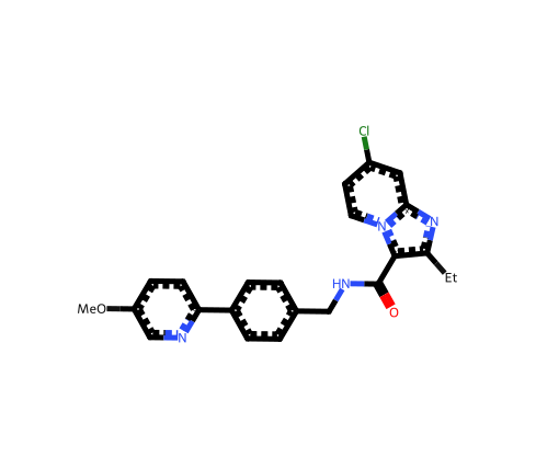 CCc1nc2cc(Cl)ccn2c1C(=O)NCc1ccc(-c2ccc(OC)cn2)cc1